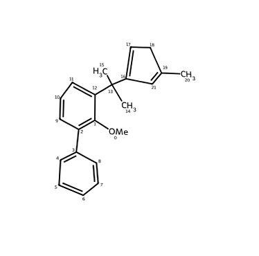 COc1c(-c2ccccc2)cccc1C(C)(C)C1=CCC(C)=C1